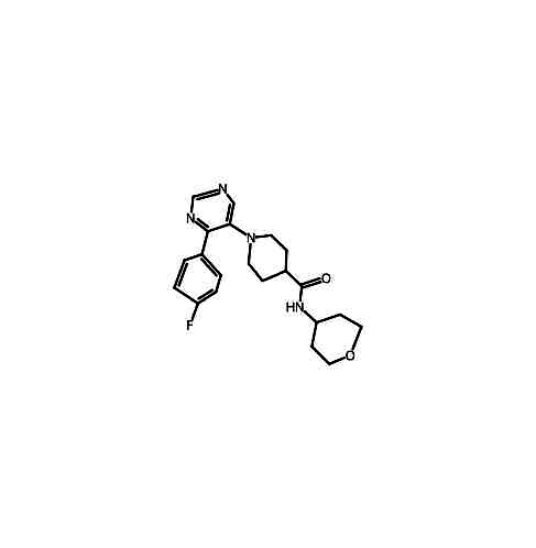 O=C(NC1CCOCC1)C1CCN(c2cncnc2-c2ccc(F)cc2)CC1